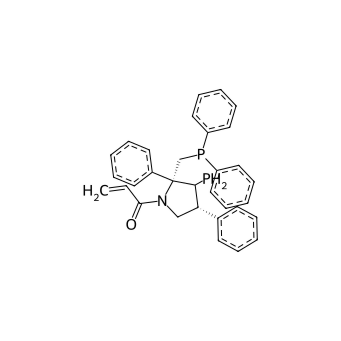 C=CC(=O)N1C[C@@H](c2ccccc2)C(P)[C@]1(CP(c1ccccc1)c1ccccc1)c1ccccc1